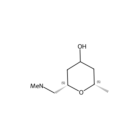 CNC[C@@H]1CC(O)C[C@H](C)O1